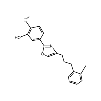 COc1ccc(-c2nc(CCCc3ccccc3C)co2)cc1O